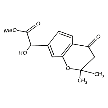 COC(=O)C(O)c1ccc2c(c1)OC(C)(C)CC2=O